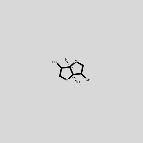 N[C@]12OCC(O)[C@H]1OCC2O